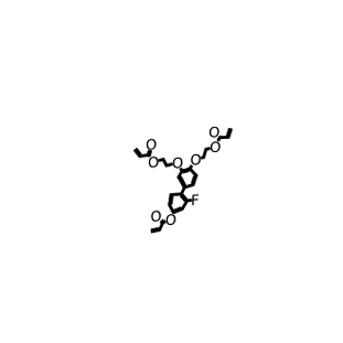 C=CC(=O)OCCOc1ccc(-c2ccc(OC(=O)C=C)cc2F)cc1OCCOC(=O)C=C